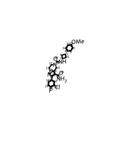 COc1ccc([C@H]2C[C@@H](NC(=O)N3CCn4nc(-c5ccc(F)c(Cl)c5)c(C(N)=O)c4C3)C2)cc1